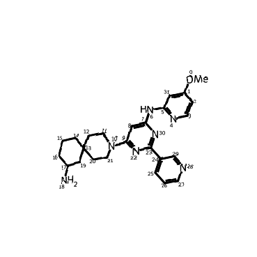 COc1ccnc(Nc2cc(N3CCC4(CCCC(N)C4)CC3)nc(-c3cccnc3)n2)c1